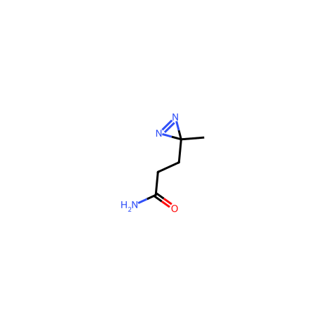 CC1(CCC(N)=O)N=N1